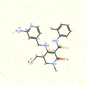 Cc1ccccc1NC(=S)C1=C(NCc2ccnc(N)c2)C(CC(F)(F)F)CN(C)C1=O